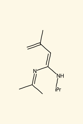 C=C(C)/C=C(\N=C(C)C)NC(C)C